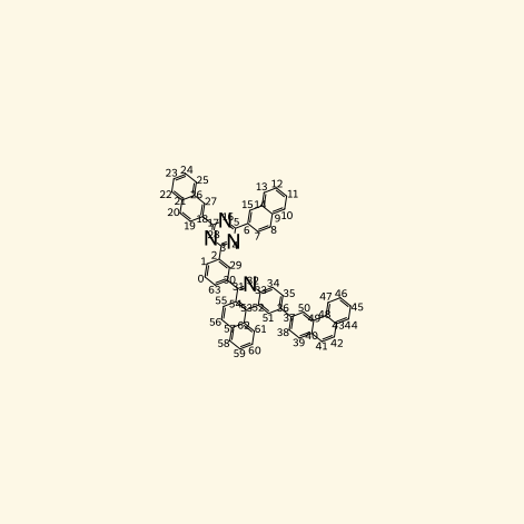 c1cc(-c2nc(-c3ccc4ccccc4c3)nc(-c3ccc4ccccc4c3)n2)cc(-c2nc3ccc(-c4ccc5ccc6ccccc6c5c4)cc3c3c2ccc2ccccc23)c1